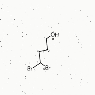 OCCCC(Br)Br